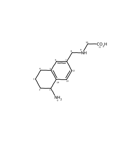 NC1CCCc2cc(CNCC(=O)O)ccc21